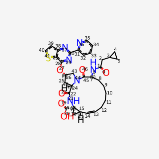 O=C(CC1CC1)N[C@H]1CCCCCC=C[C@@H]2C[C@@]2(C(=O)O)NC(=O)[C@@H]2C[C@@H](Oc3nc(-c4ccccn4)nc4ccsc34)CN2C1=O